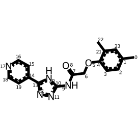 Cc1ccc(OCC(=O)Nc2nnc(-c3ccncc3)[nH]2)c(C)c1